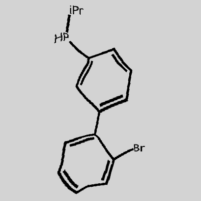 CC(C)Pc1cccc(-c2ccccc2Br)c1